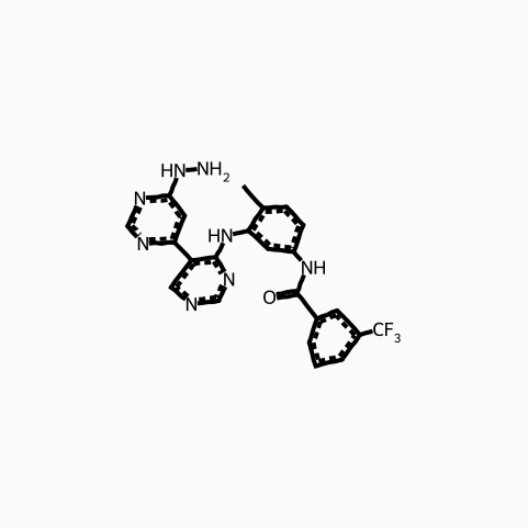 Cc1ccc(NC(=O)c2cccc(C(F)(F)F)c2)cc1Nc1ncncc1-c1cc(NN)ncn1